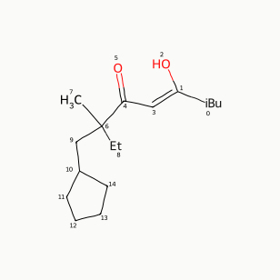 CCC(C)/C(O)=C/C(=O)C(C)(CC)CC1CCCC1